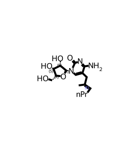 CCC/C=C(\C)Cc1cn([C@@H]2O[C@H](CO)[C@@H](O)[C@@H]2O)c(=O)nc1N